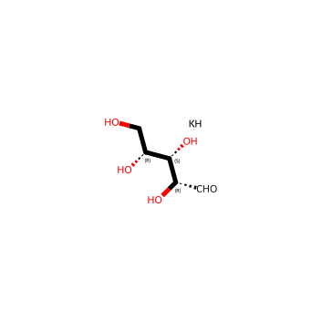 O=C[C@H](O)[C@@H](O)[C@H](O)CO.[KH]